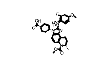 COC(=O)N1c2ccc3c(nc(Nc4ccc(OC)cc4F)n3[C@H]3CC[C@H](C(=O)O)CC3)c2CC[C@@H]1C